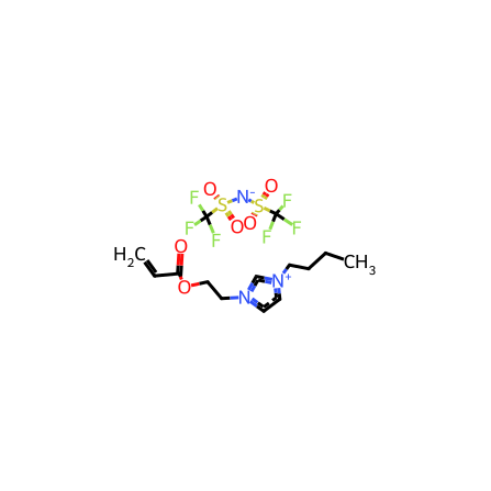 C=CC(=O)OCCn1cc[n+](CCCC)c1.O=S(=O)([N-]S(=O)(=O)C(F)(F)F)C(F)(F)F